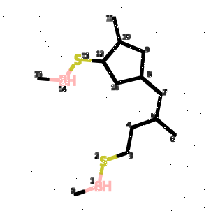 CBSCCC(C)CC1CC(C)C(SBC)C1